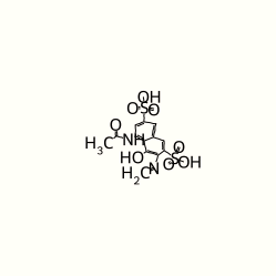 C=Nc1c(S(=O)(=O)O)cc2cc(S(=O)(=O)O)cc(NC(C)=O)c2c1O